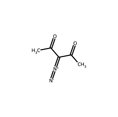 CC(=O)C(=[N+]=[N-])C(C)=O